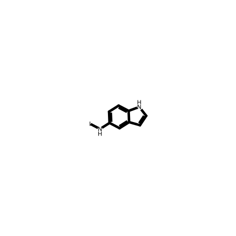 INc1ccc2[nH]ccc2c1